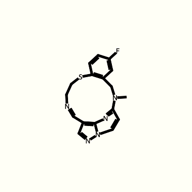 CN1Cc2cc(F)ccc2SCCN=Cc2cnn3ccc1nc23